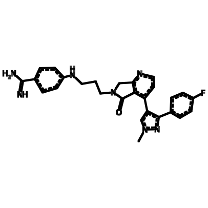 Cn1cc(-c2ccnc3c2C(=O)N(CCCNc2ccc(C(=N)N)cc2)C3)c(-c2ccc(F)cc2)n1